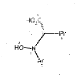 CC(=O)N(O)[C@H](C(=O)O)C(C)C